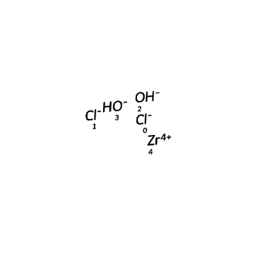 [Cl-].[Cl-].[OH-].[OH-].[Zr+4]